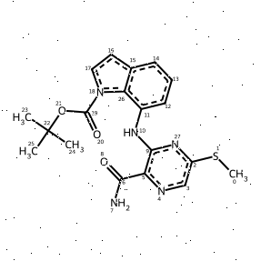 CSc1cnc(C(N)=O)c(Nc2cccc3ccn(C(=O)OC(C)(C)C)c23)n1